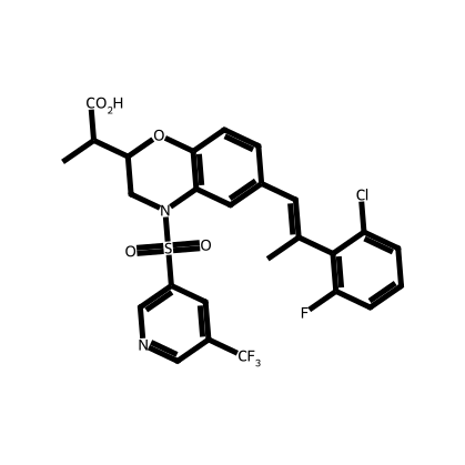 CC(=Cc1ccc2c(c1)N(S(=O)(=O)c1cncc(C(F)(F)F)c1)CC(C(C)C(=O)O)O2)c1c(F)cccc1Cl